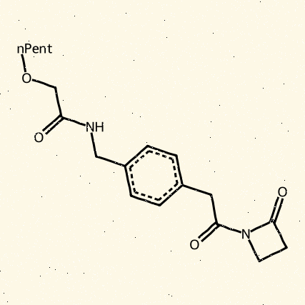 CCCCCOCC(=O)NCc1ccc(CC(=O)N2CCC2=O)cc1